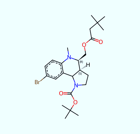 CN1c2ccc(Br)cc2C2[C@H](CCN2C(=O)OC(C)(C)C)[C@@H]1COC(=O)CC(C)(C)C